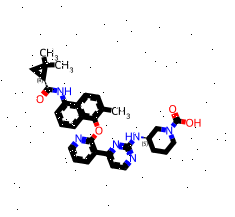 Cc1ccc2c(NC(=O)[C@@H]3CC3(C)C)cccc2c1Oc1ncccc1-c1ccnc(N[C@H]2CCCN(C(=O)O)C2)n1